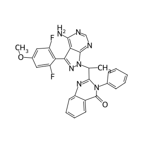 COc1cc(F)c(-c2nn(C(C)c3nc4ccccc4c(=O)n3-c3ccccc3)c3ncnc(N)c23)c(F)c1